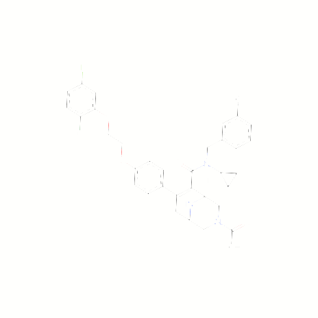 CC(=O)N1CC2CC(c3ccc(OCCOc4cc(F)ccc4Cl)cc3)=C(C(=O)N(Cc3cccc(C)c3)C3CC3)[C@@H](C1)N2